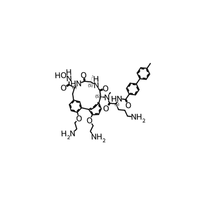 Cc1ccc(-c2ccc(C(=O)N[C@@H](CCCN)C(=O)N(C)[C@@H]3C(=O)N[C@@H](C)C(=O)N[C@H](C(=O)NO)Cc4ccc(OCCN)c(c4)-c4cc3ccc4OCCN)cc2)cc1